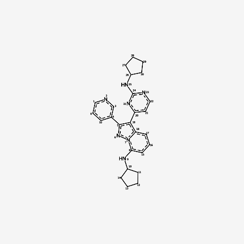 c1cncc(-c2nn3c(NC4CCCC4)cccc3c2-c2ccnc(NC3CCCC3)n2)c1